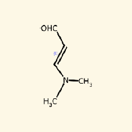 CN(C)/C=C/[C]=O